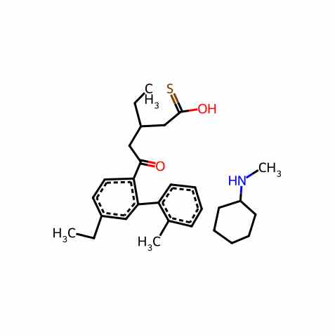 CCc1ccc(C(=O)CC(CC)CC(O)=S)c(-c2ccccc2C)c1.CNC1CCCCC1